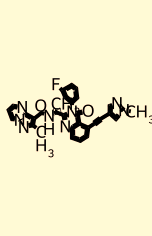 Cc1nn2cccnc2c1C(=O)N[C@@H](C)c1nc2cccc(C#Cc3cnn(C)c3)c2c(=O)n1-c1cccc(F)c1